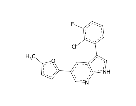 Cc1ccc(-c2cnc3[nH]cc(-c4cccc(F)c4Cl)c3c2)o1